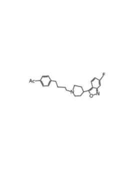 CC(=O)c1ccc(CCCCN2CCC(c3onc4cc(F)ccc34)CC2)cc1